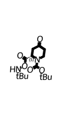 CC(C)(C)NOC(=O)[C@@H]1CC(=O)CCN1C(=O)OC(C)(C)C